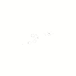 Cc1cc(-c2ccc(C=O)cc2)cc(-n2c(=O)n(C3CCC(NC(=O)c4cn5cc(F)ccc5n4)CC3)c(=O)c3cc(F)cnc32)c1